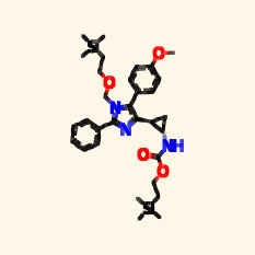 COc1ccc(-c2c([C@H]3C[C@@H]3NC(=O)OCC[Si](C)(C)C)nc(-c3ccccc3)n2COCC[Si](C)(C)C)cc1